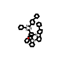 c1ccc(-c2ccc(-c3nc(-c4ccccc4)nc(-c4cc(-c5ccccc5)cc(-n5c6cc(-c7ccccc7)ccc6c6cccc(-n7c8ccccc8c8ccccc87)c65)c4)n3)cc2)cc1